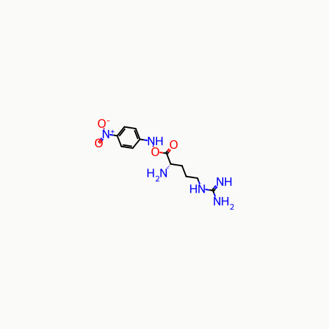 N=C(N)NCCC[C@H](N)C(=O)ONc1ccc([N+](=O)[O-])cc1